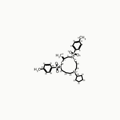 C=C1CN(S(=O)(=O)c2ccc(C)cc2)CCCN(C2CCCC2)CCCN(S(=O)(=O)c2ccc(C)cc2)C1